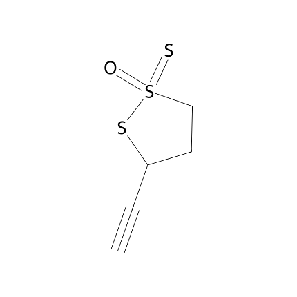 C#CC1CCS(=O)(=S)S1